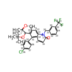 CC(=O)C(OC(C)(C)C)c1c(C)cc2c(ccc(=O)n2Cc2cccc(C(F)(F)F)c2)c1-c1ccc(Cl)cc1